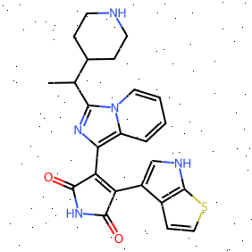 CC(c1nc(C2=C(c3c[nH]c4sccc34)C(=O)NC2=O)c2ccccn12)C1CCNCC1